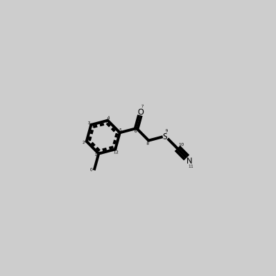 Cc1cccc(C(=O)CSC#N)c1